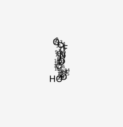 COc1ccc(F)c(-c2ccc(C3Cc4ccc(C(CC(=O)O)C5CC5)cc4O3)nc2)c1